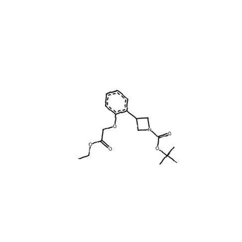 CCOC(=O)COc1ccccc1C1CN(C(=O)OC(C)(C)C)C1